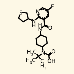 CC(C)(C)N(C(=O)O)C1CCC(NC(=O)c2cc(F)cnc2NC2CCSC2)CC1